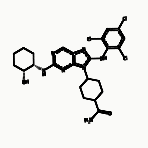 NC(=O)C1CCC(n2c(Nc3c(Cl)cc(Cl)cc3Cl)nc3cnc(N[C@H]4CCCC[C@H]4O)nc32)CC1